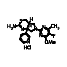 COc1nc(N2C[C@H]3CSC(N)=NC3(c3cccnc3)C2)nc(C)c1F.Cl